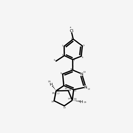 Cc1cc(Cl)ccc1-c1cc2c(nn1)[C@H]1CC[C@@H]2C1